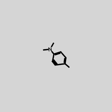 Cc1c#cc(N(C)C)cc1